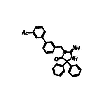 CC(=O)c1cccc(-c2cccc(CN3C(=N)NC(c4ccccc4)(c4ccccc4)C3=O)c2)c1